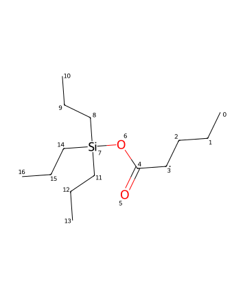 CCC[CH]C(=O)O[Si](CCC)(CCC)CCC